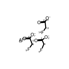 O=C([O-])CF.O=C([O-])CF.O=C([O-])CF.[Al+3]